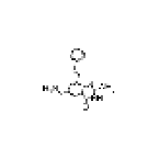 NCc1cc(CSc2ccccc2)c2nc(N)[nH]c(=O)c2c1